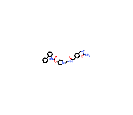 CN(Cc1ccc(CC(=O)NCCN2CCC(OC(=O)Nc3ccccc3-c3ccccc3)CC2)cc1)C(N)=O